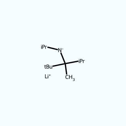 CC(C)[N-]C(C)(C(C)C)C(C)(C)C.[Li+]